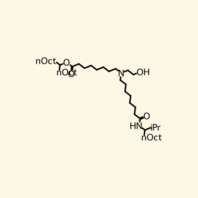 CCCCCCCCC(CCCCCCCC)OC(=O)CCCCCCCN(CCO)CCCCCCCC(=O)NC(CCCCCCCC)C(C)C